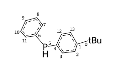 CC(C)(C)c1ccc(Pc2ccccc2)cc1